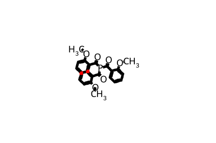 COc1ccccc1C(=O)P(C(=O)c1ccccc1OC)C(=O)c1ccccc1OC